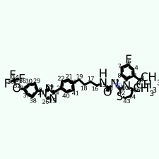 CC(C)c1cc(F)ccc1N1/C(=N/C(=O)NCCCCc2ccc(-c3ncn(-c4ccc(OC(F)(F)F)cc4)n3)cc2)SCCC1C